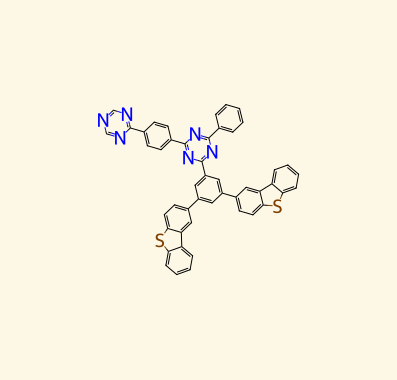 c1ccc(-c2nc(-c3ccc(-c4ncncn4)cc3)nc(-c3cc(-c4ccc5sc6ccccc6c5c4)cc(-c4ccc5sc6ccccc6c5c4)c3)n2)cc1